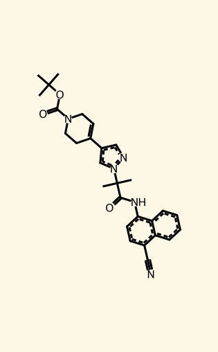 CC(C)(C)OC(=O)N1CC=C(c2cnn(C(C)(C)C(=O)Nc3ccc(C#N)c4ccccc34)c2)CC1